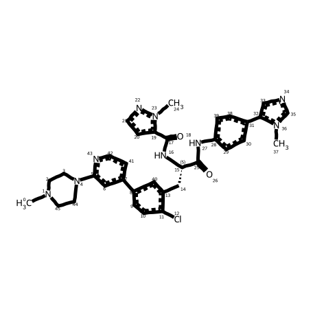 CN1CCN(c2cc(-c3ccc(Cl)c(C[C@H](NC(=O)c4ccnn4C)C(=O)Nc4ccc(-c5cncn5C)cc4)c3)ccn2)CC1